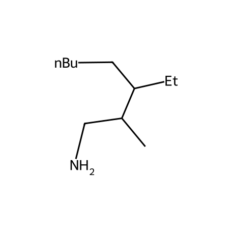 CCCCCC(CC)C(C)CN